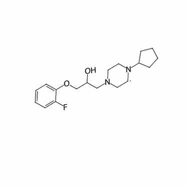 OC(COc1ccccc1F)CN1C[CH]N(C2CCCC2)CC1